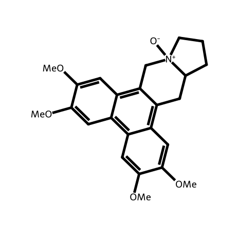 COc1cc2c3c(c4cc(OC)c(OC)cc4c2cc1OC)C[N+]1([O-])CCCC1C3